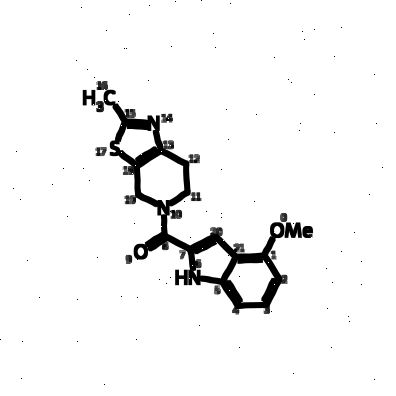 COc1cccc2[nH]c(C(=O)N3CCc4nc(C)sc4C3)cc12